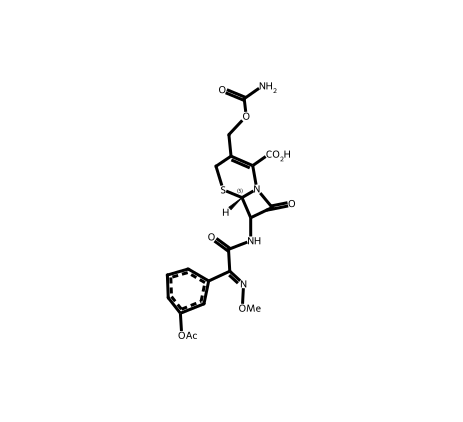 CON=C(C(=O)NC1C(=O)N2C(C(=O)O)=C(COC(N)=O)CS[C@@H]12)c1cccc(OC(C)=O)c1